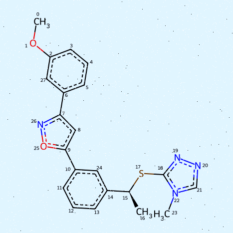 COc1cccc(-c2cc(-c3cccc([C@H](C)Sc4nncn4C)c3)on2)c1